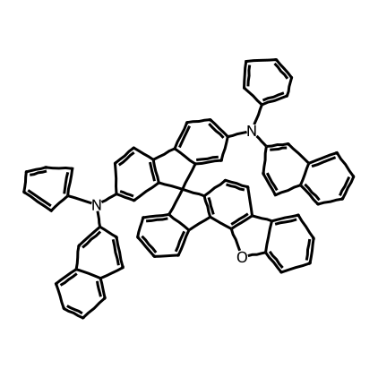 c1ccc(N(c2ccc3c(c2)C2(c4cc(N(c5ccccc5)c5ccc6ccccc6c5)ccc4-3)c3ccccc3-c3c2ccc2c3oc3ccccc32)c2ccc3ccccc3c2)cc1